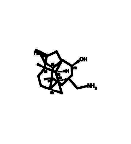 C=C1CC[C@H]2[C@@]3(CCN)C[C@]3([C@@]3(C)CC[C@H](O)C[C@@H]3CO)CC[C@]12C